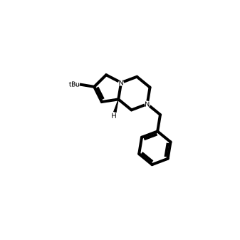 CC(C)(C)C1=C[C@H]2CN(Cc3ccccc3)CCN2C1